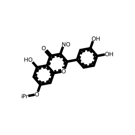 CC(C)Oc1cc(O)c2c(=O)c(N=O)c(-c3ccc(O)c(O)c3)oc2c1